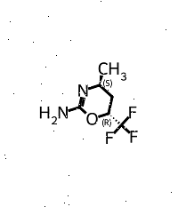 C[C@H]1C[C@H](C(F)(F)F)OC(N)=N1